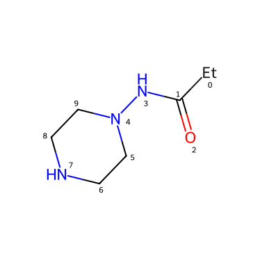 CCC(=O)NN1CCNCC1